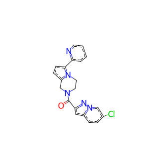 O=C(c1cc2ccc(Cl)cn2n1)N1CCn2c(ccc2-c2ccccn2)C1